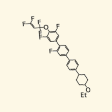 CCOC1CCC(c2ccc(-c3ccc(-c4cc(F)c(OC(F)(F)C=C(F)F)c(F)c4)c(F)c3)cc2)CC1